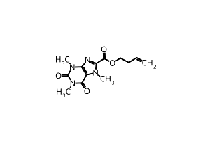 C=CCCOC(=O)c1nc2c(c(=O)n(C)c(=O)n2C)n1C